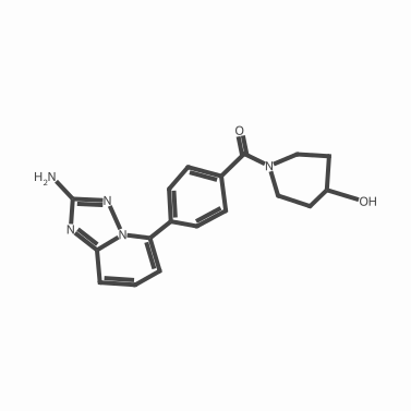 Nc1nc2cccc(-c3ccc(C(=O)N4CCC(O)CC4)cc3)n2n1